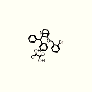 Brc1ccccc1COC1C2CCN(CC2)C1C(c1ccccc1)c1ccccc1.O=C(O)C(=O)O